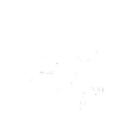 C=CC=C.C=CCCCCC=C.CC=C(C)C(=O)O